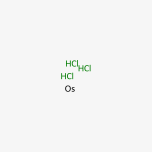 Cl.Cl.Cl.[Os]